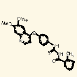 COc1cc2nccc(Oc3ccc(NC(=S)NC(=O)c4ccccc4C)cc3)c2cc1OC